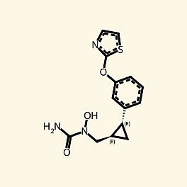 NC(=O)N(O)C[C@@H]1C[C@H]1c1cccc(Oc2nccs2)c1